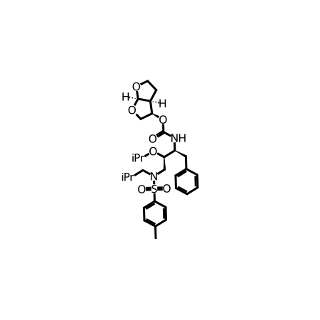 Cc1ccc(S(=O)(=O)N(CC(C)C)C[C@@H](OC(C)C)[C@H](Cc2ccccc2)NC(=O)O[C@H]2CO[C@H]3OCC[C@H]32)cc1